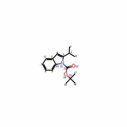 CC(C)c1cc2ccccc2n1C(=O)OC(C)(C)C